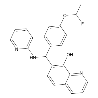 CC(F)Oc1ccc(C(Nc2ccccn2)c2ccc3cccnc3c2O)cc1